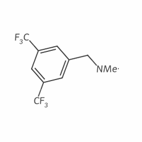 C[N]Cc1cc(C(F)(F)F)cc(C(F)(F)F)c1